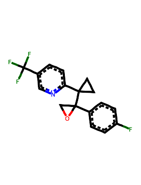 Fc1ccc(C2(C3(c4ccc(C(F)(F)F)cn4)CC3)CO2)cc1